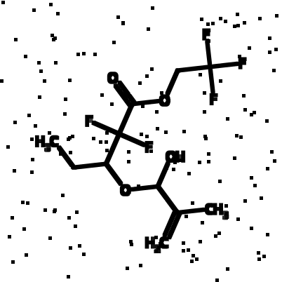 C=C(C)C(O)OC(CC)C(F)(F)C(=O)OCC(F)(F)F